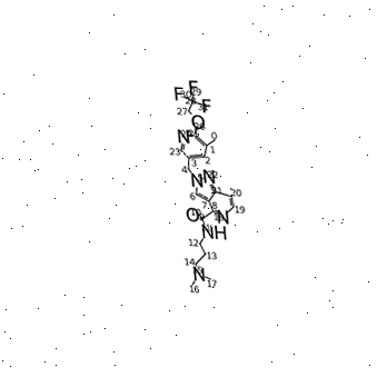 Cc1cc(Cn2cc3c(C(=O)NCCCN(C)C)nccc3n2)cnc1OCC(F)(F)F